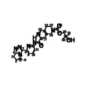 C[C@@H]1CCc2nnc(-c3cccc(NC(=O)c4cc5c(cn4)CCN(C(=O)OCC(C)(C)O)C5)n3)n21